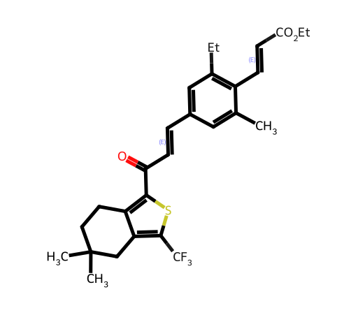 CCOC(=O)/C=C/c1c(C)cc(/C=C/C(=O)c2sc(C(F)(F)F)c3c2CCC(C)(C)C3)cc1CC